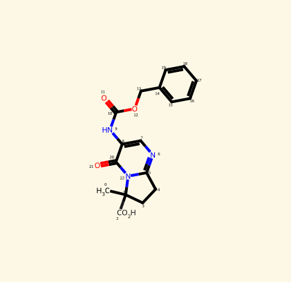 CC1(C(=O)O)CCc2ncc(NC(=O)OCc3ccccc3)c(=O)n21